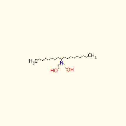 CCCCCCCCCC(CCCCCCCC)N(CCO)CCO